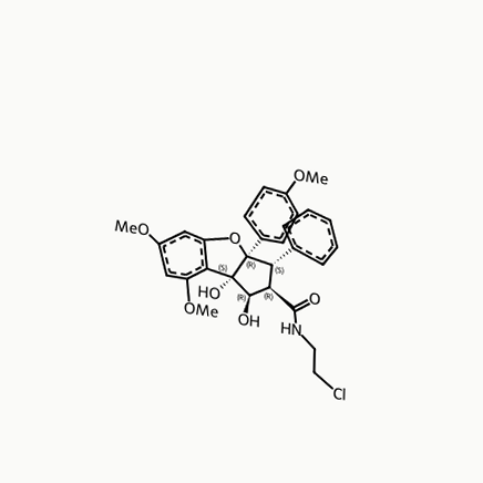 COc1ccc([C@@]23Oc4cc(OC)cc(OC)c4[C@]2(O)[C@H](O)[C@H](C(=O)NCCCl)[C@H]3c2ccccc2)cc1